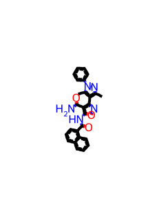 Cc1nn(-c2ccccc2)c(C)c1-c1noc(NC(=O)c2cccc3ccccc23)c1C(N)=O